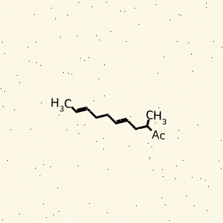 CC=CCCC=CCC(C)C(C)=O